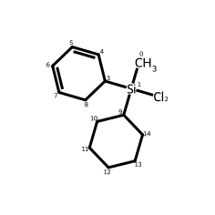 C[Si](Cl)(C1C=CC=CC1)C1CCCCC1